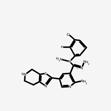 N/N=C(/c1cc(-c2nc3c(s2)CNCC3)cnc1N)N(N)c1cccc(Cl)c1F